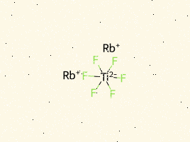 [F][Ti-2]([F])([F])([F])([F])[F].[Rb+].[Rb+]